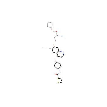 COc1cc2c(Oc3ccc(NC(=O)c4cccs4)cc3)ccnc2cc1OCCC(N)C(=O)OC1CCCC1